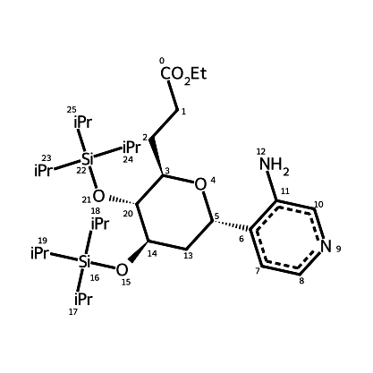 CCOC(=O)CC[C@H]1O[C@H](c2ccncc2N)C[C@@H](O[Si](C(C)C)(C(C)C)C(C)C)[C@@H]1O[Si](C(C)C)(C(C)C)C(C)C